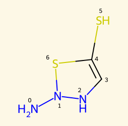 NN1NC=C(S)S1